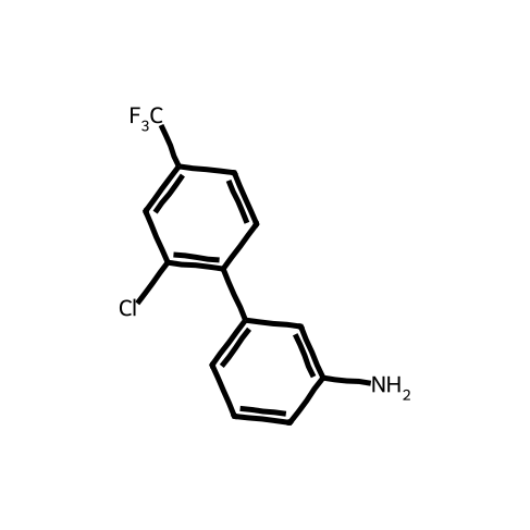 Nc1cccc(-c2ccc(C(F)(F)F)cc2Cl)c1